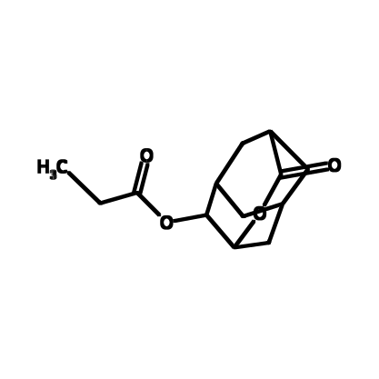 CCC(=O)OC1C2CC3CC(C2)C(=O)OC1C3